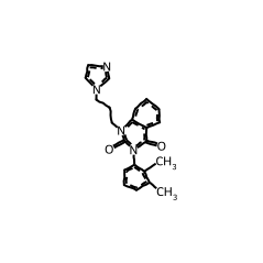 Cc1cccc(-n2c(=O)c3ccccc3n(CCCn3ccnc3)c2=O)c1C